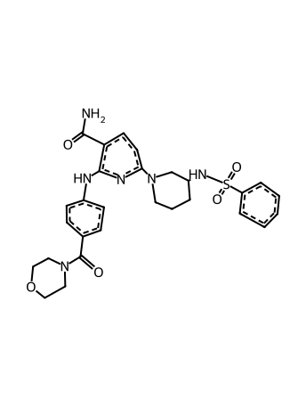 NC(=O)c1ccc(N2CCCC(NS(=O)(=O)c3ccccc3)C2)nc1Nc1ccc(C(=O)N2CCOCC2)cc1